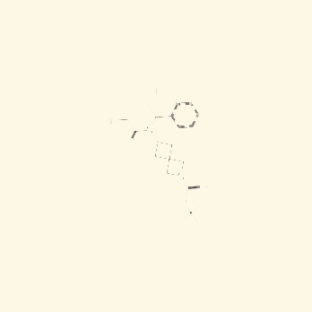 CC(c1ccccc1O)N(C(=O)CBr)C1CC2(C1)CN(C(=O)OC(C)(C)C)C2